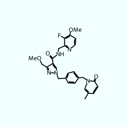 COCc1nn(Cc2ccc(Cn3cc(C)ccc3=O)cc2)cc1C(=O)NCc1nccc(OC)c1F